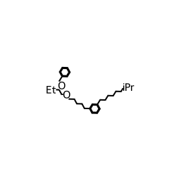 CCC(COCCCCCc1cccc(CCCCCCC(C)C)c1)OCc1ccccc1